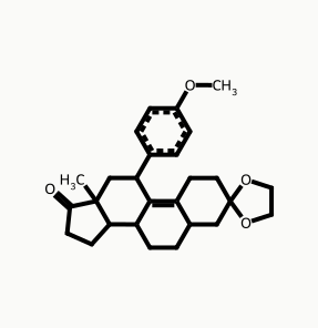 COc1ccc(C2CC3(C)C(=O)CCC3C3CCC4CC5(CCC4=C23)OCCO5)cc1